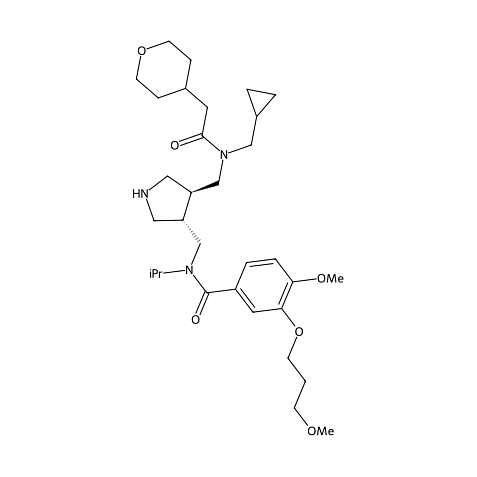 COCCCOc1cc(C(=O)N(C[C@@H]2CNC[C@H]2CN(CC2CC2)C(=O)CC2CCOCC2)C(C)C)ccc1OC